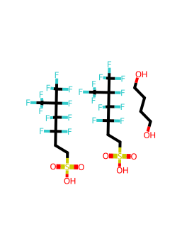 O=S(=O)(O)CCC(F)(F)C(F)(F)C(F)(C(F)(F)F)C(F)(F)F.O=S(=O)(O)CCC(F)(F)C(F)(F)C(F)(C(F)(F)F)C(F)(F)F.OCCCCO